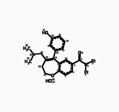 CCN(CC)C(=O)c1ccc2c(c1)C(c1cccc(O)c1)=C(CN(C)C)CCO2.Cl